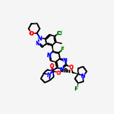 Cc1c(Cl)cc2c(cnn2C2CCCCO2)c1-c1ncc2c(N3CC4CCC(C3)N4C(=O)OC(C)(C)C)nc(OC[C@@]34CCCN3C[C@H](F)C4)nc2c1F